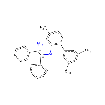 Cc1cc(C)cc(-c2ccc(C)cc2N[C@@H](c2ccccc2)[C@@H](N)c2ccccc2)c1